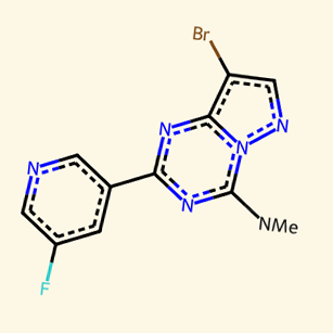 CNc1nc(-c2cncc(F)c2)nc2c(Br)cnn12